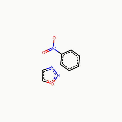 O=[N+]([O-])c1ccccc1.c1conn1